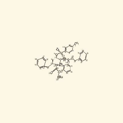 Cc1ccc(S(=O)(=O)O[C@@H](C[C@H](Cc2ccccc2)NC(=O)OC(C)(C)C)[C@@H](NC(=O)OCc2ccccc2)Nc2ccccc2)cc1